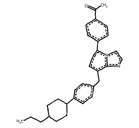 CCCC1CCC(c2ccc(Cc3ccc(-c4ccc(C(C)=O)cc4)n4ccnc34)cc2)CC1